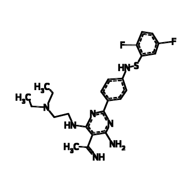 CCN(CC)CCNc1nc(-c2ccc(NSc3cc(F)ccc3F)cc2)nc(N)c1C(C)=N